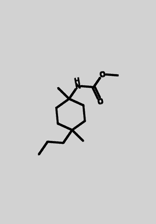 CCCC1(C)CCC(C)(NC(=O)OC)CC1